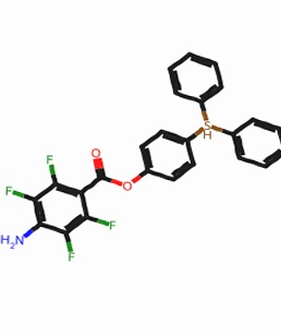 Nc1c(F)c(F)c(C(=O)Oc2ccc([SH](c3ccccc3)c3ccccc3)cc2)c(F)c1F